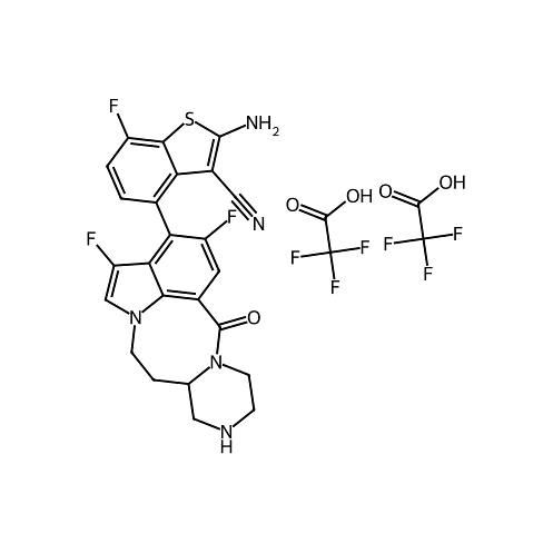 N#Cc1c(N)sc2c(F)ccc(-c3c(F)cc4c5c3c(F)cn5CCC3CNCCN3C4=O)c12.O=C(O)C(F)(F)F.O=C(O)C(F)(F)F